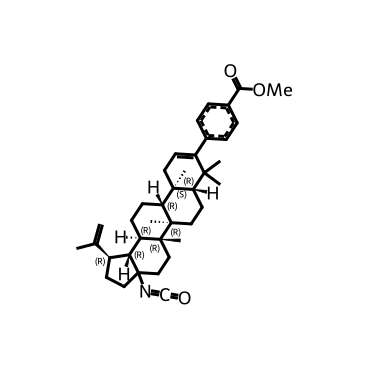 C=C(C)[C@@H]1CCC2(N=C=O)CC[C@]3(C)[C@H](CC[C@@H]4[C@@]5(C)CC=C(c6ccc(C(=O)OC)cc6)C(C)(C)[C@@H]5CC[C@]43C)[C@@H]12